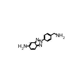 NCc1ccc(-n2nc3[c]c(N)ccc3n2)cc1